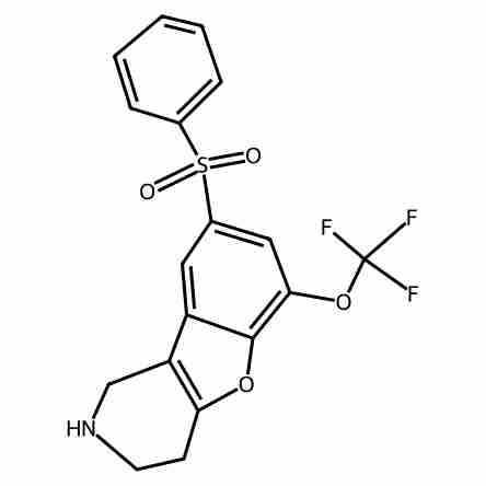 O=S(=O)(c1ccccc1)c1cc(OC(F)(F)F)c2oc3c(c2c1)CNCC3